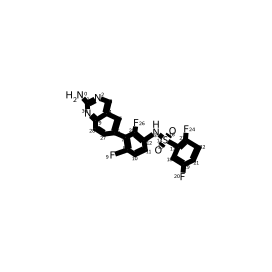 Nc1ncc2cc(-c3c(F)ccc(NS(=O)(=O)c4cc(F)ccc4F)c3F)ccc2n1